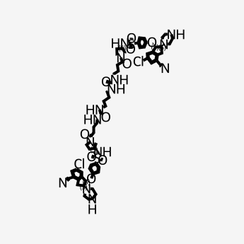 N#Cc1cc(Cl)cc2c1C[C@H](N1CCNCC1)[C@H]2Oc1ccc(S(=O)(=O)N[C@H]2CCN(C(=O)CCCNC(=O)NCCCCNC(=O)NCCCC(=O)N3CC[C@H](NS(=O)(=O)c4ccc(O[C@H]5c6cc(Cl)cc(C#N)c6C[C@@H]5N5CCNCC5)cc4)C3)C2)cc1